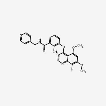 COc1cc(OC)c2c(Oc3cccc(C(=O)NCc4ccncc4)c3C)ccnc2c1Cl